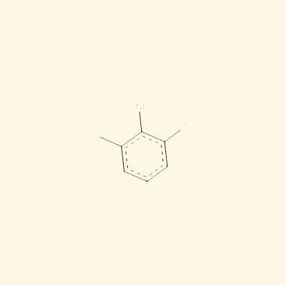 CC(=O)c1cccc(Cl)c1N